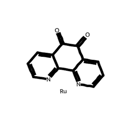 O=C1C(=O)c2cccnc2-c2ncccc21.[Ru]